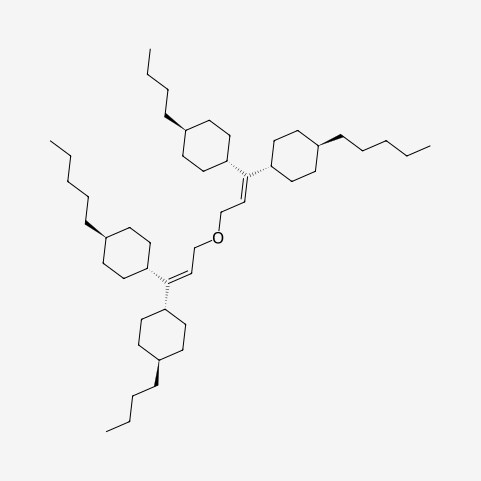 CCCCC[C@H]1CC[C@H](C(=CCOCC=C([C@H]2CC[C@H](CCCC)CC2)[C@H]2CC[C@H](CCCCC)CC2)[C@H]2CC[C@H](CCCC)CC2)CC1